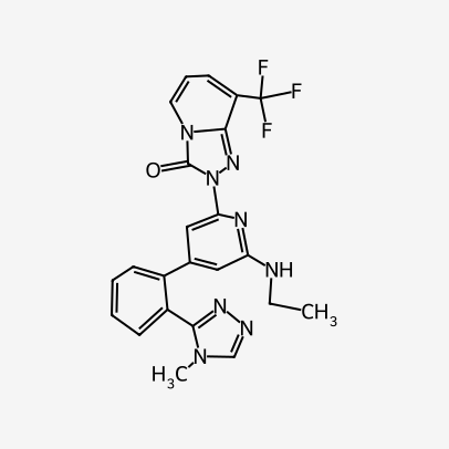 CCNc1cc(-c2ccccc2-c2nncn2C)cc(-n2nc3c(C(F)(F)F)cccn3c2=O)n1